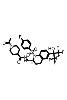 CC(=O)N1CCC(C(=O)NC[C@@H]2CCc3cc(C(O)(C(F)(F)F)C(F)(F)F)ccc3N2S(=O)(=O)c2ccc(F)cc2)CC1